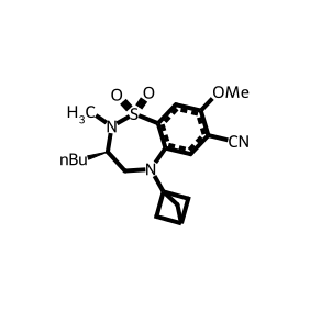 CCCC[C@@H]1CN(C23CC(C2)C3)c2cc(C#N)c(OC)cc2S(=O)(=O)N1C